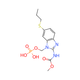 CCCSc1ccc2nc(NC(=O)OC)n(COP(=O)(O)O)c2c1